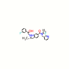 CC[C@@H](Cc1ccc(C(=O)N(C)Cc2cccnc2F)cc1)NC[C@H](O)c1cccc(F)c1